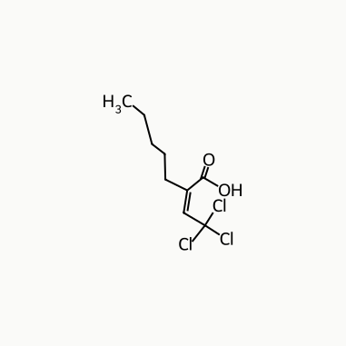 CCCCCC(=CC(Cl)(Cl)Cl)C(=O)O